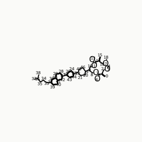 C=C(COC)C(=O)OCC(COC(=O)C(=C)COC)C1CCC(c2ccc(-c3ccc4cc(CCCC(C)C)ccc4c3)cc2)CC1